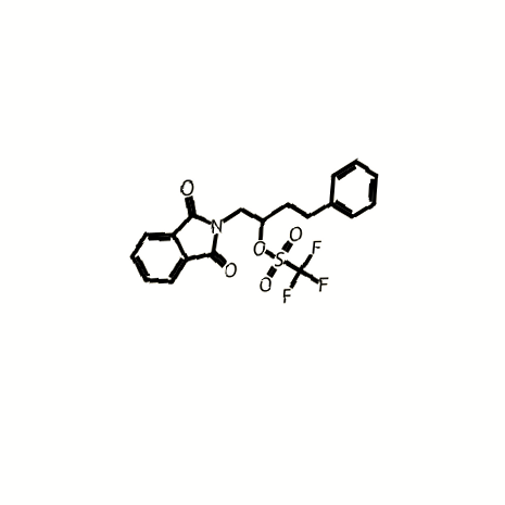 O=C1c2ccccc2C(=O)N1CC(CCc1ccccc1)OS(=O)(=O)C(F)(F)F